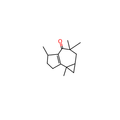 CC1CCC2=C1C(=O)C(C)(C)CC1CC21C